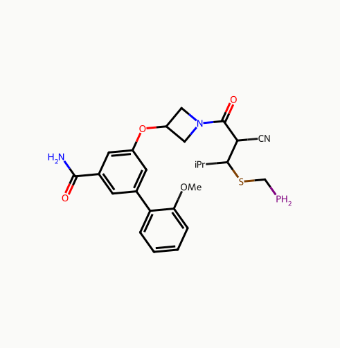 COc1ccccc1-c1cc(OC2CN(C(=O)C(C#N)C(SCP)C(C)C)C2)cc(C(N)=O)c1